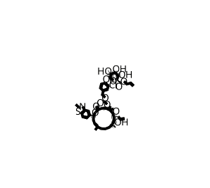 C=CCOC(=O)[C@H]1O[C@@H](Oc2ccc(COC(=O)O[C@H]3CC(=O)O[C@H](c4ccc5sc(C)nc5c4)CC=C(C)CCC[C@H](C)[C@H](O)[C@@H](CC=C)C(=O)C3(C)C)cc2Cl)[C@H](O)[C@@H](O)[C@@H]1O